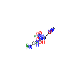 COC(=O)NC(C(=O)N[C@@H](Cc1ccc(C#Cc2ccc(N3CC4CCC(C3)N4C3COC3)nc2)cc1)[C@@H](O)CNCc1ccc(-c2cnn(C(F)F)c2)cc1F)C(C)(C)CF